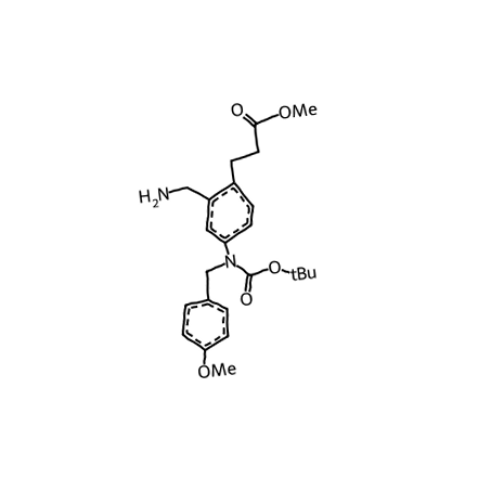 COC(=O)CCc1ccc(N(Cc2ccc(OC)cc2)C(=O)OC(C)(C)C)cc1CN